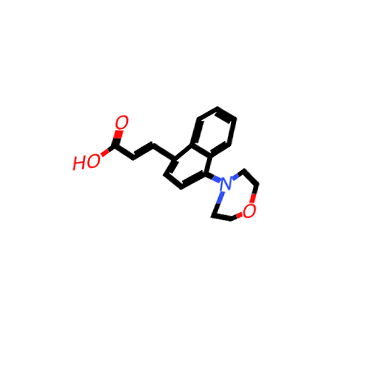 O=C(O)C=Cc1ccc(N2CCOCC2)c2ccccc12